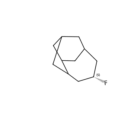 F[C@H]1CC2CC3CC(C2)C(C3)C1